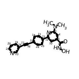 CN(C)c1cc(C(=O)NO)cc(-c2ccc(C#Cc3cccnc3)cc2)n1